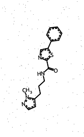 Cn1nccc1CCCNC(=O)c1ncc(-c2ccccc2)s1